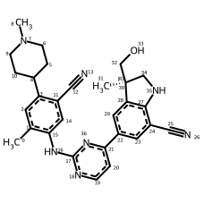 Cc1cc(C2CCN(C)CC2)c(C#N)cc1Nc1nccc(-c2cc(C#N)c3c(c2)[C@@](C)(CO)CN3)n1